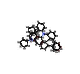 c1ccc(-c2ccccc2-c2c(-c3ccccc3)cccc2N(c2ccccc2-c2ccccc2)c2cccc3c2c2ccccc2n3-c2ccccc2)cc1